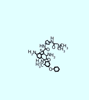 Cc1cc(Oc2ccccc2)ccc1C1(N)C(=O)C(N)c2c(C(=O)N[C@@H]3CC[C@@H](NC(=O)CN(C)C)C3)sc3c(N)ccc1c23